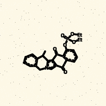 CCOP(=O)(OCC)Oc1cccc2c1C(=O)c1c(cn3c1C(C)c1ccccc1C3)C2=O